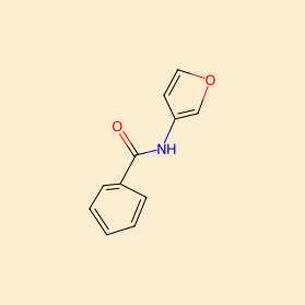 O=C(Nc1ccoc1)c1ccccc1